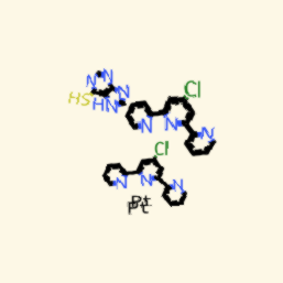 Clc1cc(-c2ccccn2)nc(-c2ccccn2)c1.Clc1cc(-c2ccccn2)nc(-c2ccccn2)c1.Sc1ncnc2nc[nH]c12.[Pt].[Pt]